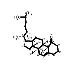 CC(C)CCC[C@@H](C)[C@H]1CC[C@H]2[C@@H]3CC=C4CCCC(=O)[C@]4(C)[C@H]3CC[C@]12C